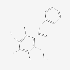 CCCCOc1c(I)c(Br)c(OC(F)(F)F)c(C)c1C(=O)Oc1ccccc1